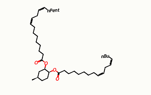 CCCC/C=C\C/C=C\CCCCCCCC(=O)O[C@H]1CC[C@@H](C)C[C@H]1OC(=O)CCCCCCC/C=C\C/C=C\CCCCC